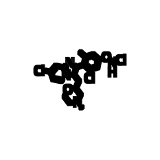 Cc1cc(ONCl)cc(Cl)c1C1N=C2C=C(Cl)C=CN2C1CC1CN(C)CCO1